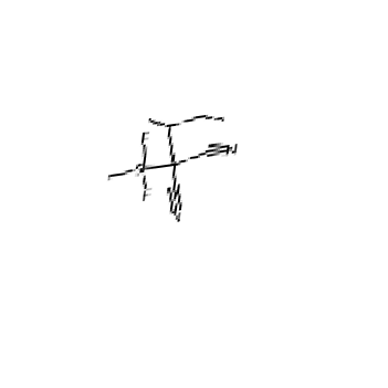 CCC(C)C(C#N)(C#N)[Si](C)(F)F